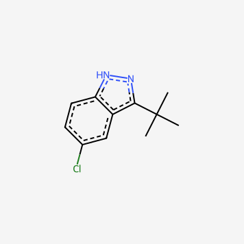 CC(C)(C)c1n[nH]c2ccc(Cl)cc12